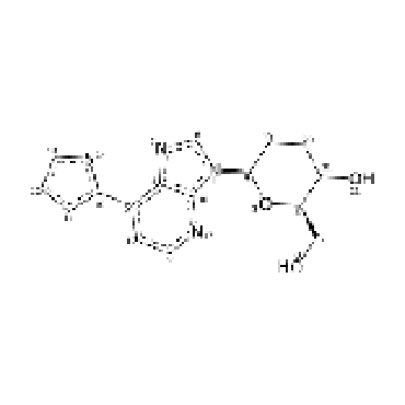 OC[C@H]1O[C@@H](n2cnc3c(-c4cccs4)ccnc32)CCC1O